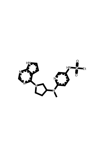 CCS(=O)(=O)Nc1ccc(N(C)C2CCN(c3ncnc4[nH]ccc34)C2)nc1